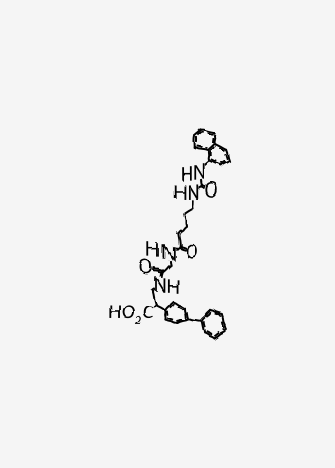 O=C(CCCCNC(=O)Nc1cccc2ccccc12)NCC(=O)NCC(C(=O)O)c1ccc(-c2ccccc2)cc1